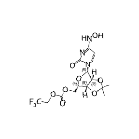 CC1(C)O[C@@H]2[C@H](O1)[C@@H](COC(=O)OCC(F)(F)F)O[C@H]2n1ccc(NO)nc1=O